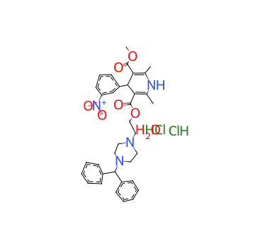 COC(=O)C1=C(C)NC(C)=C(C(=O)OCCN2CCN(C(c3ccccc3)c3ccccc3)CC2)C1c1cccc([N+](=O)[O-])c1.Cl.Cl.O